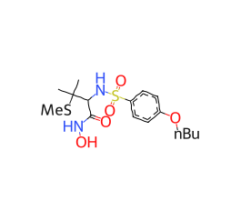 CCCCOc1ccc(S(=O)(=O)NC(C(=O)NO)C(C)(C)SC)cc1